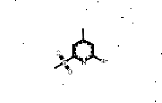 Cc1cc(Br)nc(S(C)(=O)=O)c1